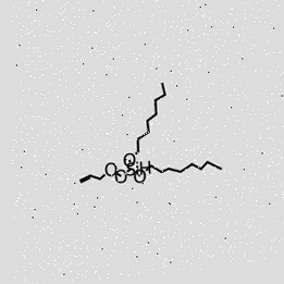 C=CCOO[SiH](OCCCCCCCC)OCCCCCCCC